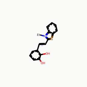 CC[n+]1c(/C=C/c2cccc(O)c2O)sc2ccccc21